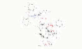 C=C[C@H]1O[C@H]2CC3OC[C@@]3(OC(C)=O)[C@H]3[C@H](OC(=O)c4ccccc4)[C@]4(O)CC(OC(=O)[C@H](OC)[C@@H](NC(=O)c5ccccc5)c5ccccc5)C(C)=C([C@@H](C)[C@H](O1)[C@]23C)C4(C)C